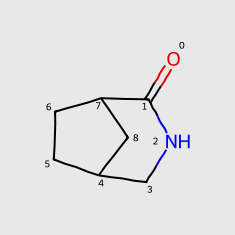 O=C1NCC2CCC1C2